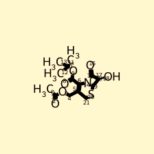 CC(=O)OCC1=C(C(=O)OC(C)(C)C)N2C(=O)[C@@H](O)C2SC1